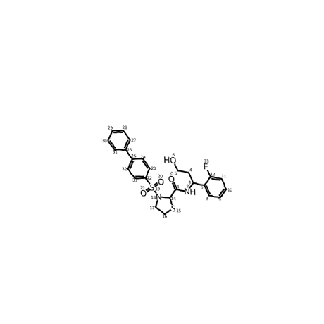 O=C(NC(CCO)c1ccccc1F)C1SCCN1S(=O)(=O)c1ccc(-c2ccccc2)cc1